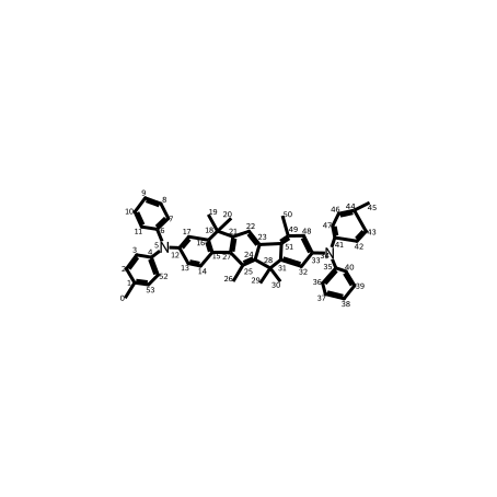 Cc1ccc(N(c2ccccc2)c2ccc3c(c2)C(C)(C)c2cc4c(c(C)c2-3)C(C)(C)c2cc(N(c3ccccc3)c3ccc(C)cc3)cc(C)c2-4)cc1